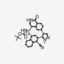 Cn1ncc(-c2ccc3c(=O)[nH]cc(CNC(=O)OC(C)(C)C)c3c2)c1-c1cc(Cl)c2ccccc2c1C#N